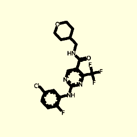 O=C(NCC1CCOCC1)c1cnc(Nc2cc(Cl)ccc2F)nc1C(F)(F)F